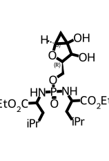 CCOC(=O)C(CC(C)C)NP(=O)(NC(CC(C)C)C(=O)OCC)OC[C@H]1O[C@H]2CC2(O)C1O